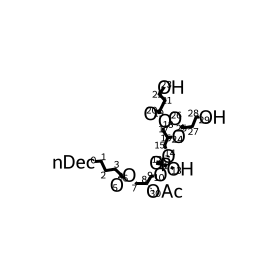 CCCCCCCCCCCCCC(=O)OC[C@H](COP(=O)(O)OCC(COC(=O)CCO)OC(=O)CCO)OC(C)=O